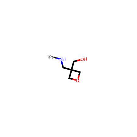 CC(C)NCC1(CO)COC1